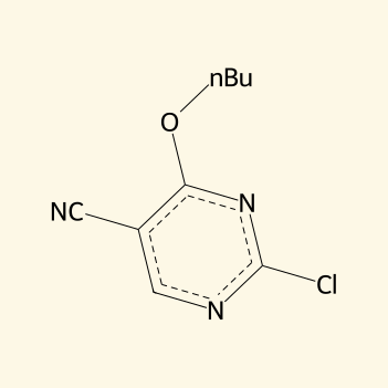 CCCCOc1nc(Cl)ncc1C#N